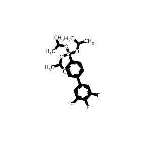 CC(C)O[Si](OC(C)C)(OC(C)C)c1ccc(-c2cc(F)c(F)c(F)c2)cc1